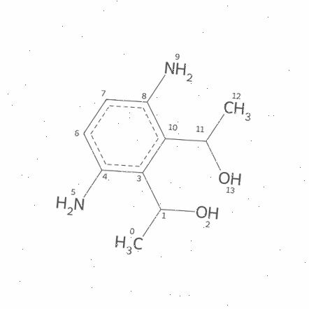 CC(O)c1c(N)ccc(N)c1C(C)O